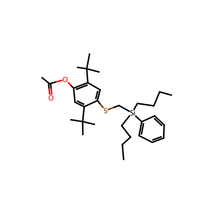 CCCC[Si](CCCC)(CSc1cc(C(C)(C)C)c(OC(C)=O)cc1C(C)(C)C)c1ccccc1